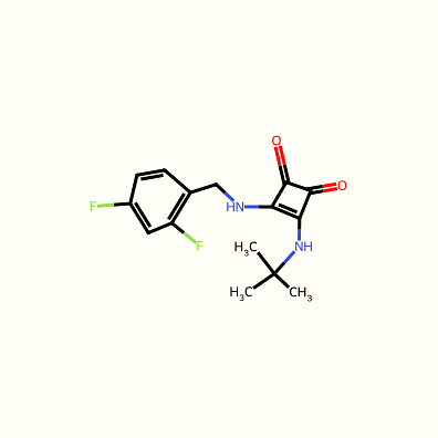 CC(C)(C)Nc1c(NCc2ccc(F)cc2F)c(=O)c1=O